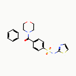 O=C(c1ccc(S(=O)(=O)Nc2nccs2)cc1)N1CCOC[C@H]1c1ccccc1